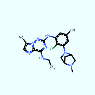 CN1CC2CC1CN2c1cc(C#N)cc(Nc2nc(NCC(F)(F)F)c3ncc(C#N)n3n2)c1Cl